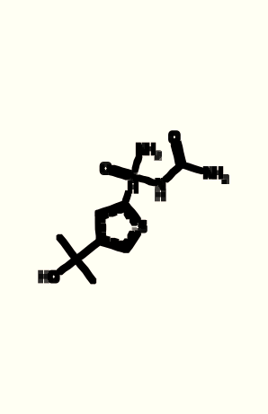 CC(C)(O)c1csc([SH](N)(=O)NC(N)=O)c1